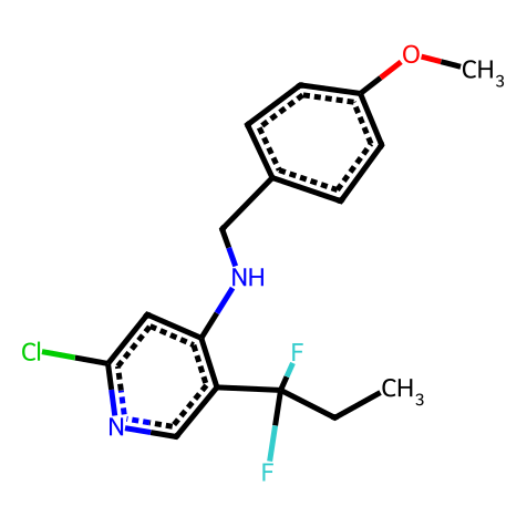 CCC(F)(F)c1cnc(Cl)cc1NCc1ccc(OC)cc1